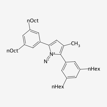 CCCCCCCCc1cc(CCCCCCCC)cc(C2=CC(C)=C(c3cc(CCCCCC)cc(CCCCCC)c3)[N+]2=[N-])c1